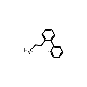 C[CH]Cc1ccccc1-c1[c]cccc1